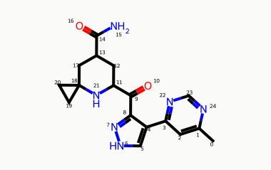 Cc1cc(-c2c[nH]nc2C(=O)C2CC(C(N)=O)CC3(CC3)N2)ncn1